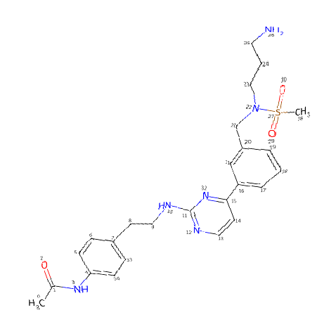 CC(=O)Nc1ccc(CCNc2nccc(-c3cccc(CN(CCCN)S(C)(=O)=O)c3)n2)cc1